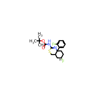 CC(C)(C)OC(=O)NC1=NC2(c3ccccc3F)CC[C@@H](F)CC2CS1